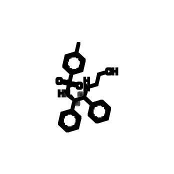 Cc1ccc(S(=O)(=O)N[C@H](c2ccccc2)[C@@H](NCCO)c2ccccc2)cc1